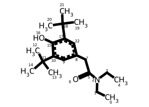 CCN(CC)C(=O)Cc1cc(C(C)(C)C)c(O)c(C(C)(C)C)c1